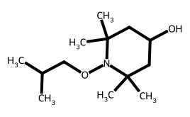 CC(C)CON1C(C)(C)CC(O)CC1(C)C